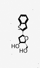 OC[C@H]1O[C@@H](c2cc3ccccc3s2)C[C@@H]1O